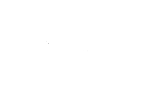 C=CCOCc1ccc2ccccn12